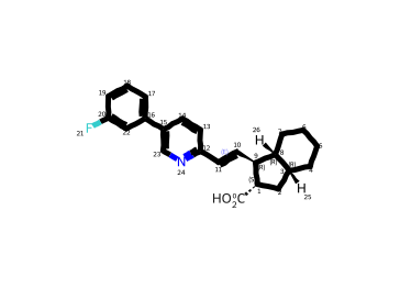 O=C(O)[C@H]1C[C@H]2CCCC[C@H]2[C@@H]1/C=C/c1ccc(-c2cccc(F)c2)cn1